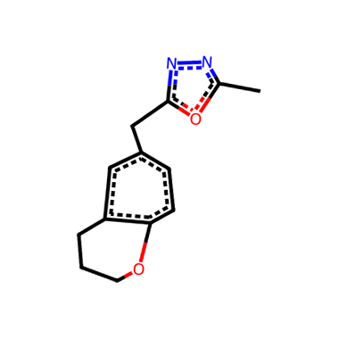 Cc1nnc(Cc2ccc3c(c2)CCCO3)o1